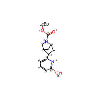 CC(C)(C)OC(=O)N1CC2CC1CC2c1cccc(O)n1